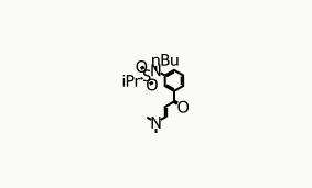 CCCCN(c1cccc(C(=O)C=CN(C)C)c1)S(=O)(=O)C(C)C